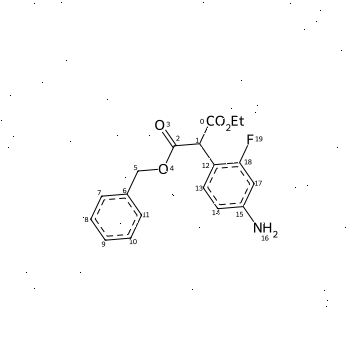 CCOC(=O)C(C(=O)OCc1ccccc1)c1ccc(N)cc1F